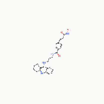 O=C(C=Cc1ccc(C(=O)NCCCNc2c3c(nc4ccccc24)CCCC3)cc1)NO